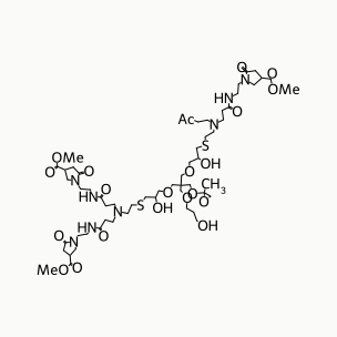 COC(=O)C1CC(=O)N(CCNC(=O)CCN(CCSCC(O)COCC(COCCCO)(COCC(O)CSCCN(CCC(=O)NCCN2CC(C(=O)OC)CC2=O)CCC(=O)NCCN2CC(C(=O)OC)CC2=O)COC2(C)CO2)CCC(C)=O)C1